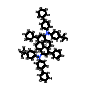 C[Si](C)(C)c1ccc(N(c2ccc(-c3ccccc3)cc2)c2cc(-c3ccccc3)c3ccc4c(N(c5ccc(-c6ccccc6)cc5)c5ccc([Si](C)(C)C)cc5)cc(-c5ccccc5)c5ccc2c3c54)cc1